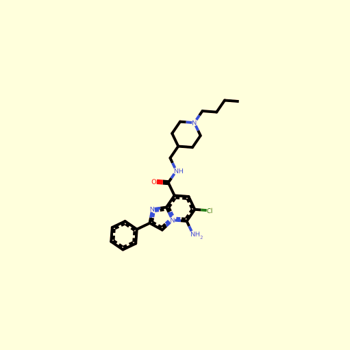 CCCCN1CCC(CNC(=O)c2cc(Cl)c(N)n3cc(-c4ccccc4)nc23)CC1